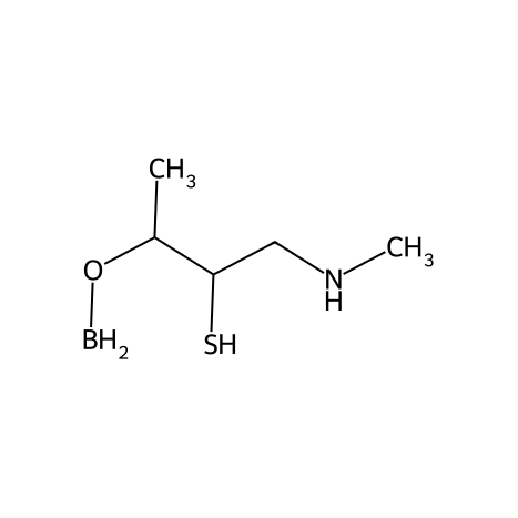 BOC(C)C(S)CNC